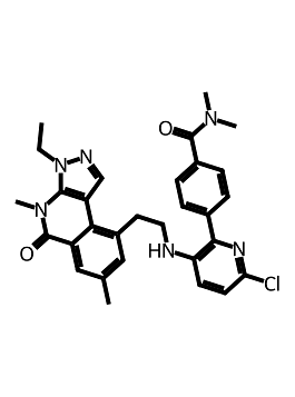 CCn1ncc2c3c(CCNc4ccc(Cl)nc4-c4ccc(C(=O)N(C)C)cc4)cc(C)cc3c(=O)n(C)c21